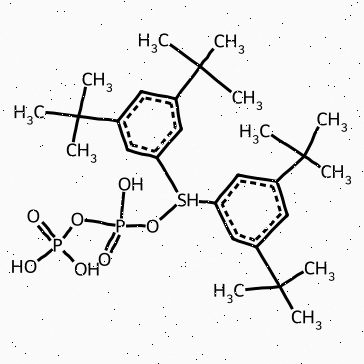 CC(C)(C)c1cc([SH](OP(=O)(O)OP(=O)(O)O)c2cc(C(C)(C)C)cc(C(C)(C)C)c2)cc(C(C)(C)C)c1